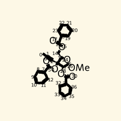 CC#C[C@@]1(OC(=O)c2ccccc2)[C@@H](COC(=O)c2ccccc2)OC(OC)[C@@H]1OC(=O)c1ccccc1